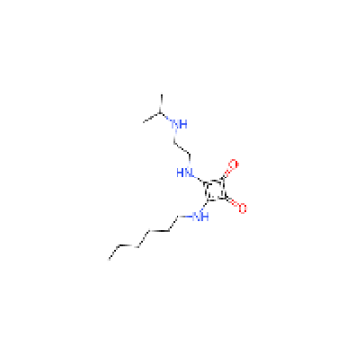 CCCCCCNc1c(NCCNC(C)C)c(=O)c1=O